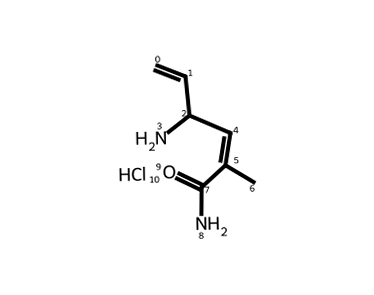 C=CC(N)C=C(C)C(N)=O.Cl